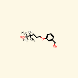 CC(C)(CCCOc1cccc(CO)c1)[Si](C)(C)O